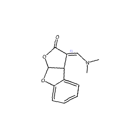 CN(C)/C=C1/C(=O)OC2Oc3ccccc3C12